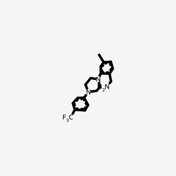 Cc1ccc(CN)c(N2CCN(c3ccc(C(F)(F)F)cc3)CC2)c1